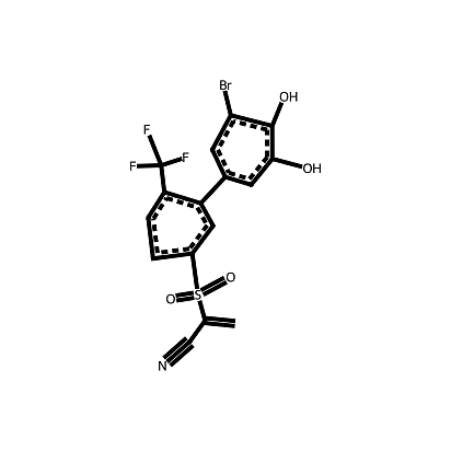 C=C(C#N)S(=O)(=O)c1ccc(C(F)(F)F)c(-c2cc(O)c(O)c(Br)c2)c1